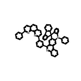 c1ccc(-c2ccc3ccc4ccc(-c5cccc(-c6nc7ccccc7c7cc8c(cc67)C6(c7ccccc7-c7ccccc76)c6ccccc6N8c6ccccc6)c5)nc4c3n2)cc1